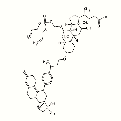 C=CCOP(=O)(OCC=C)OCO[C@@H]1C[C@@H]2C[C@@H](OCCN(C)c3ccc([C@H]4C[C@@]5(C)C(CC[C@]5(C)O)C5CCC6=CC(=O)CCC6=C54)cc3)CC[C@]2(C)[C@H]2C[C@H](O)[C@]3(C)[C@@H]([C@H](C)CCC(=O)O)CC[C@H]3[C@H]12